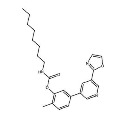 CCCCCCCCNC(=O)Oc1cc(-c2cncc(-c3ncco3)c2)ccc1C